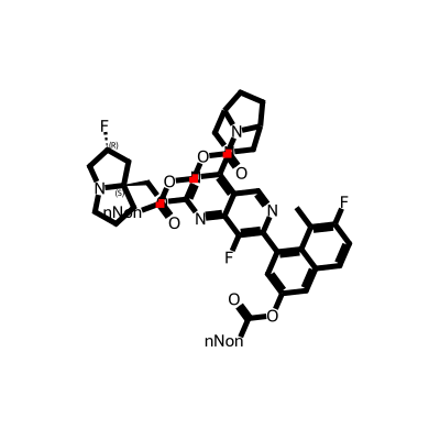 CCCCCCCCCC(=O)OCOC(=O)N1C2CCC1CN(c1nc(OC[C@@]34CCCN3C[C@H](F)C4)nc3c(F)c(-c4cc(OC(=O)CCCCCCCCC)cc5ccc(F)c(C)c45)ncc13)C2